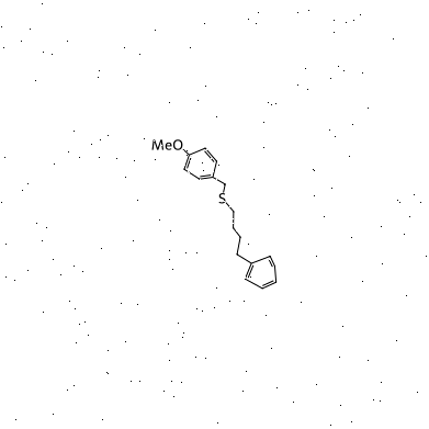 COc1ccc(CSCCCCc2ccccc2)cc1